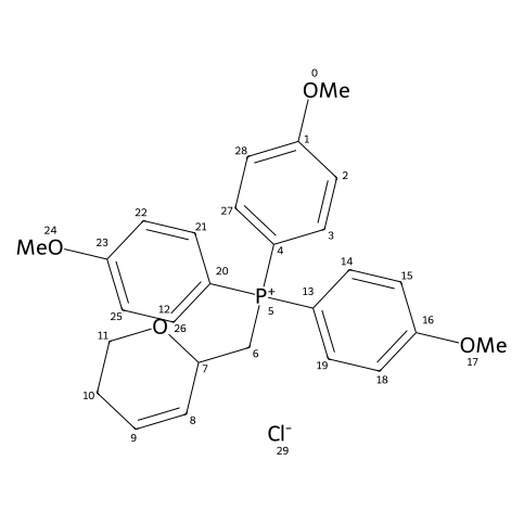 COc1ccc([P+](CC2C=CCCO2)(c2ccc(OC)cc2)c2ccc(OC)cc2)cc1.[Cl-]